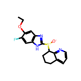 CCOc1cc2nc([S+]([O-])C3CCCc4cccnc43)[nH]c2cc1F